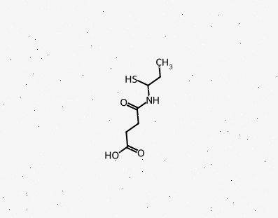 CCC(S)NC(=O)CCC(=O)O